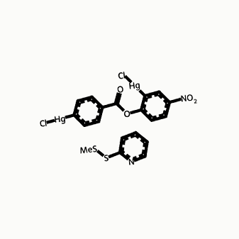 CSSc1ccccn1.O=C(Oc1ccc([N+](=O)[O-])c[c]1[Hg][Cl])c1cc[c]([Hg][Cl])cc1